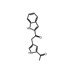 CC(=O)c1cc(CC(=O)c2cc3ccccc3[nH]2)c[nH]1